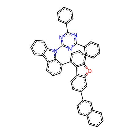 c1ccc(-c2nc(-c3ccccc3)nc(-n3c4ccccc4c4cccc(-c5cccc6oc7cc(-c8ccc9ccccc9c8)ccc7c56)c43)n2)cc1